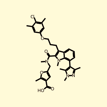 Cc1cc(OCCCc2c(C(=O)N(C)Cc3cc(C(=O)O)c(C)o3)n(C)c3c(-c4c(C)nn(C)c4C)cccc23)cc(C)c1Cl